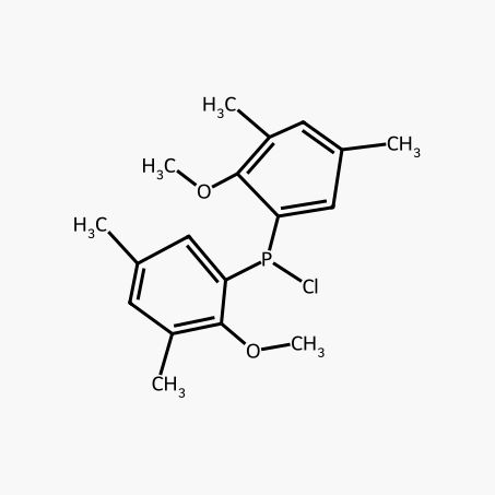 COc1c(C)cc(C)cc1P(Cl)c1cc(C)cc(C)c1OC